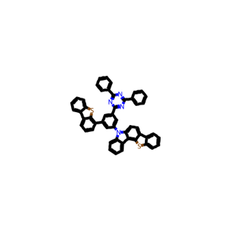 c1ccc(-c2nc(-c3ccccc3)nc(-c3cc(-c4cccc5c4sc4ccccc45)cc(-n4c5ccccc5c5c6sc7ccccc7c6ccc54)c3)n2)cc1